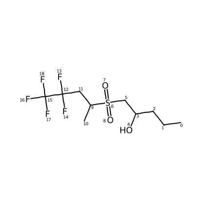 CCCC(O)CS(=O)(=O)C(C)CC(F)(F)C(F)(F)F